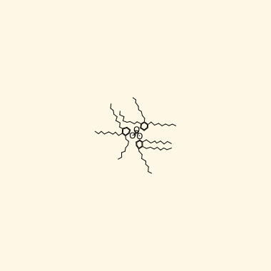 CCCCCCCCc1ccc(OP(Oc2ccc(CCCCCCCC)c(CCCCCCCC)c2CCCCCCCC)Oc2ccc(CCCCCCCC)c(CCCCCCCC)c2CCCCCCCC)c(CCCCCCCC)c1CCCCCCCC